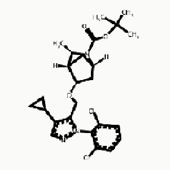 C[C@@H]1[C@@H]2C[C@@H](C[C@H]2OCc2c(C3CC3)cnn2-c2c(Cl)cccc2Cl)N1C(=O)OC(C)(C)C